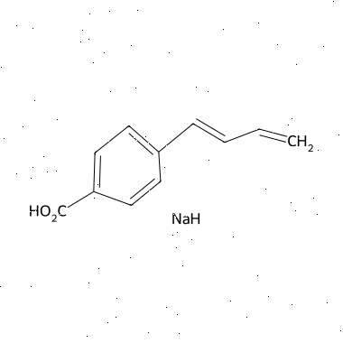 C=CC=Cc1ccc(C(=O)O)cc1.[NaH]